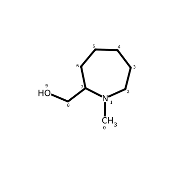 CN1CCCCCC1CO